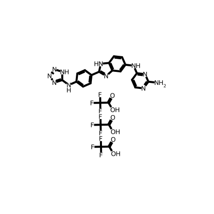 Nc1nccc(Nc2ccc3[nH]c(-c4ccc(Nc5nnn[nH]5)cc4)nc3c2)n1.O=C(O)C(F)(F)F.O=C(O)C(F)(F)F.O=C(O)C(F)(F)F